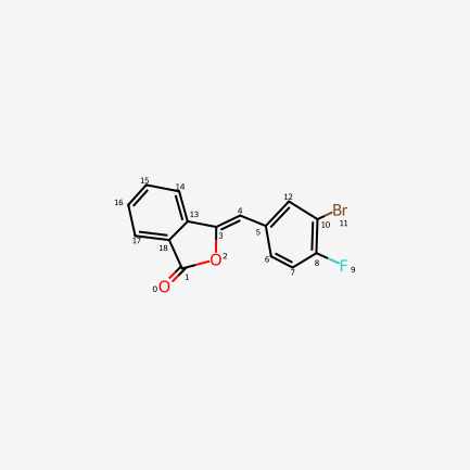 O=C1OC(=Cc2ccc(F)c(Br)c2)c2ccccc21